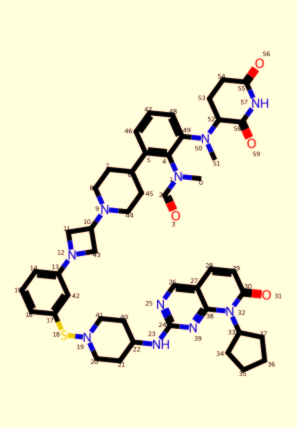 CN(C=O)c1c(C2CCN(C3CN(c4cccc(SN5CCC(Nc6ncc7ccc(=O)n(C8CCCC8)c7n6)CC5)c4)C3)CC2)cccc1N(C)C1CCC(=O)NC1=O